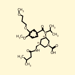 COCCCOc1cc(C(=O)N(C(C)C)[C@@H]2C[C@H](CNC(=O)CC(C)C)CN(C(=O)O)C2)ccc1OC